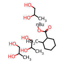 CC(O)CO.CC(O)CO.CC(O)CO.CCCCOC(=O)C1CCCCC1C(=O)O